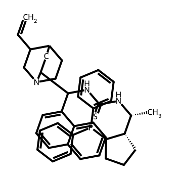 C=CC1CN2CCC1CC2C(NC(=S)N[C@H](C)[C@@H]1CCCC1P(c1ccccc1)c1ccccc1)c1cccc2ccccc12